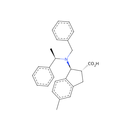 Cc1ccc2c(c1)C[C@@H](C(=O)O)[C@@H]2N(Cc1ccccc1)[C@H](C)c1ccccc1